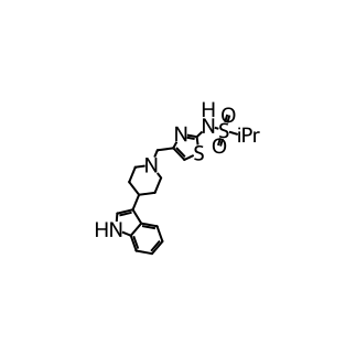 CC(C)S(=O)(=O)Nc1nc(CN2CCC(c3c[nH]c4ccccc34)CC2)cs1